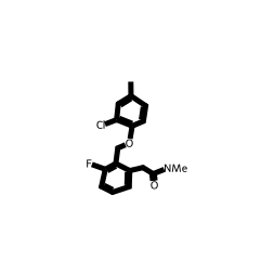 CNC(=O)Cc1cccc(F)c1COc1ccc(C)cc1Cl